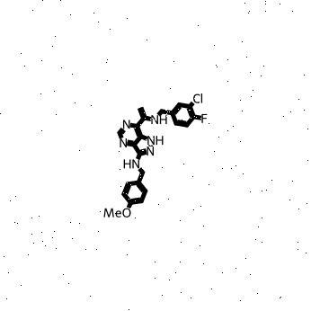 C=C(NCc1ccc(F)c(Cl)c1)c1ncnc2c(NCc3ccc(OC)cc3)n[nH]c12